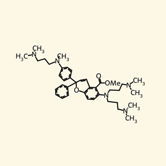 COC(=O)c1c(N(CCCN(C)C)CCCN(C)C)ccc2c1C=CC(c1ccccc1)(c1ccc(N(C)CCCN(C)C)cc1)O2